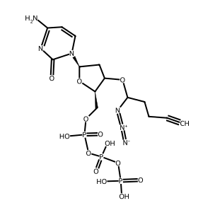 C#CCCC(N=[N+]=[N-])OC1C[C@H](n2ccc(N)nc2=O)O[C@@H]1COP(=O)(O)OP(=O)(O)OP(=O)(O)O